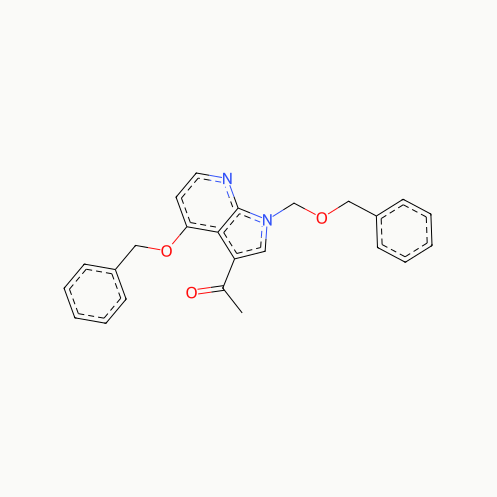 CC(=O)c1cn(COCc2ccccc2)c2nccc(OCc3ccccc3)c12